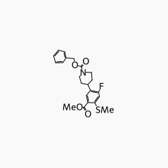 COC(=O)c1cc(C2CCN(C(=O)OCc3ccccc3)CC2)c(F)cc1SC